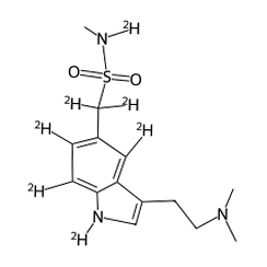 [2H]c1c(C([2H])([2H])S(=O)(=O)N([2H])C)c([2H])c2c(CCN(C)C)cn([2H])c2c1[2H]